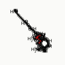 CCCC[C@H](NC(=O)[C@H](CN)NC[C@H](Cc1c[nH]cn1)NC(=O)[C@H](CCC(N)=O)NC(=O)[C@H](CO)NC(=O)COCCOCCNC(=O)COCCOCCNC(=O)CCCCCCCCCCCCCCCc1nnn[nH]1)C(=O)N[C@H]1CCC(=O)NCCCC[C@@H](C(C)=O)NC(=O)[C@H](Cc2c[nH]c3ccccc23)NC(=O)[C@H](CCCNC(=N)N)NC(=O)[C@@H](Cc2ccccc2)NC(=O)[C@@H]2C[C@@H](O)CN2C1=O